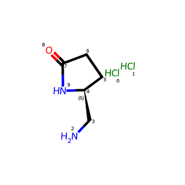 Cl.Cl.NC[C@@H]1CCC(=O)N1